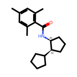 Cc1cc(C)c(C(=O)N[C@H]2CCC[C@H]2C2CCCC2)c(C)c1